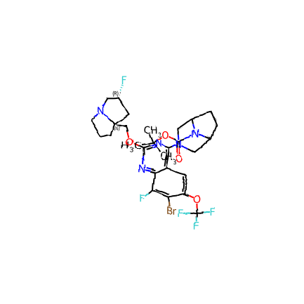 CC(C)(C)OC(=O)N1C2CCC1CN(c1nc(OC[C@@]34CCCN3C[C@H](F)C4)nc3c(F)c(Br)c(OC(F)(F)F)cc13)C2